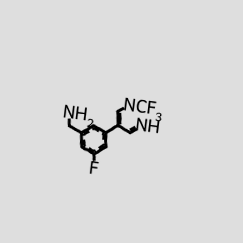 N=C/C(=C\NC(F)(F)F)c1cc(F)cc(CN)c1